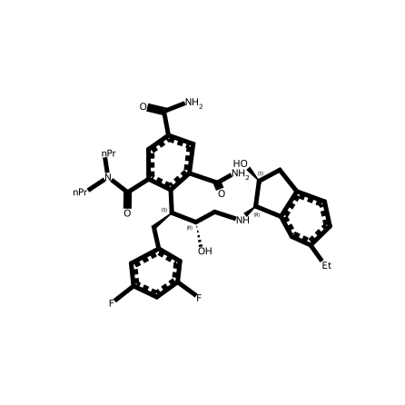 CCCN(CCC)C(=O)c1cc(C(N)=O)cc(C(N)=O)c1[C@H](Cc1cc(F)cc(F)c1)[C@@H](O)CN[C@@H]1c2cc(CC)ccc2C[C@@H]1O